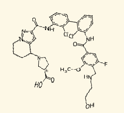 COc1cc(C(=O)Nc2cccc(-c3cccc(NC(=O)c4cc5n(n4)CCCC5N4CC[C@@H](C(=O)O)C4)c3Cl)c2Cl)cc(F)c1CNCCO